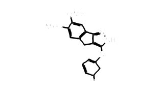 COc1cc2c(cc1OC)-c1n[nH]c(NC3=CC=CC(F)C3)c1C2